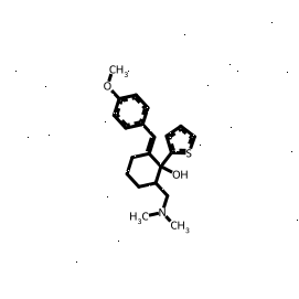 COc1ccc(/C=C2\CCCC(CN(C)C)C2(O)c2cccs2)cc1